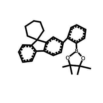 CC1(C)OB(c2ccccc2-c2ccc3c(c2)C2(CCCCC2)c2ccccc2-3)OC1(C)C